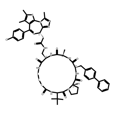 Cc1sc2c(c1C)C(c1ccc(Cl)cc1)=N[C@@H](CC(=O)NC[C@H]1NC(=O)[C@@H](C)NC(=O)[C@@H](Cc3ccc(-c4ccccc4)cc3)NC(=O)[C@@H]3CCCN3C(=O)C(C(C)(C)C)NC(=O)CCCNC1=O)c1nnc(C)n1-2